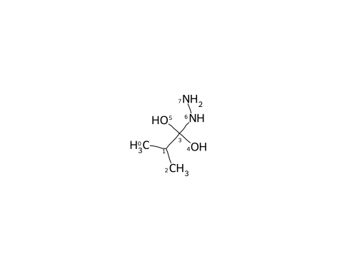 CC(C)C(O)(O)NN